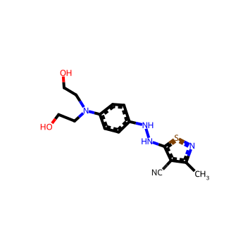 Cc1nsc(NNc2ccc(N(CCO)CCO)cc2)c1C#N